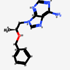 C[C@H](Cn1cnc2c(N)ncnc21)OCc1ccccc1